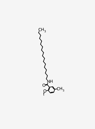 CCCCCCCCCCCCCCCCCCNC(=O)c1cc(C)ccc1OI